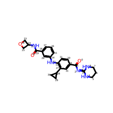 O=C(N=C1NCCCN1)c1ccc(Nc2cccc(C(=O)NC3COC3)c2)c(C2CC2)c1